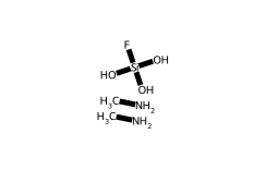 CN.CN.O[Si](O)(O)F